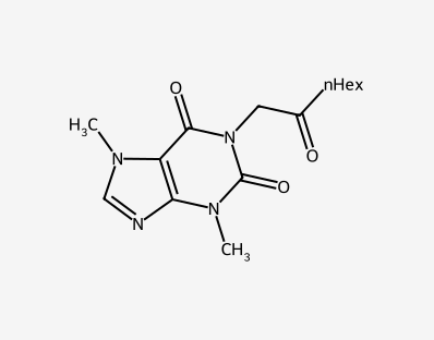 CCCCCCC(=O)Cn1c(=O)c2c(ncn2C)n(C)c1=O